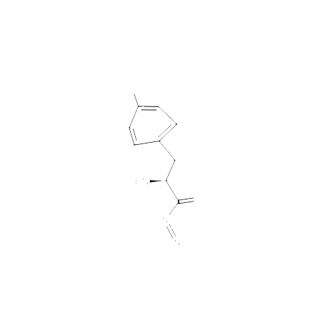 N=NC(=O)[C@@H](N)Cc1ccc(O)cc1